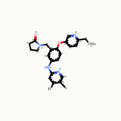 CCc1cc(Nc2ccc(Oc3ccc(COC)nc3)c(CN3CCCC3=O)c2)ncc1C